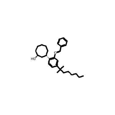 CCCCCCC(C)(C)c1ccc([C@H]2CCCCC[C@H](O)C2)c(OCc2ccccc2)c1